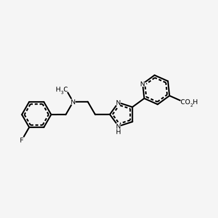 CN(CCc1nc(-c2cc(C(=O)O)ccn2)c[nH]1)Cc1cccc(F)c1